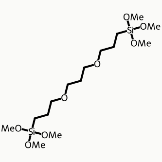 CO[Si](CCCOCCCOCCC[Si](OC)(OC)OC)(OC)OC